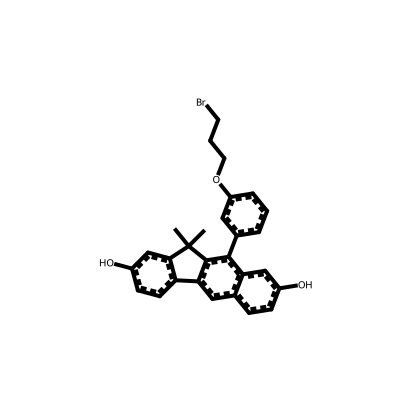 CC1(C)c2cc(O)ccc2-c2cc3ccc(O)cc3c(-c3cccc(OCCCBr)c3)c21